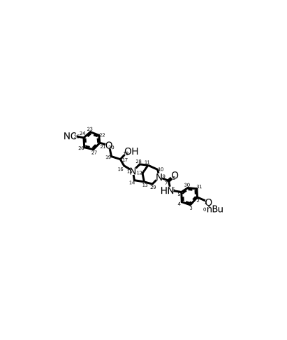 CCCCOc1ccc(NC(=O)N2CC3CC(CN(CC(O)COc4ccc(C#N)cc4)C3)C2)cc1